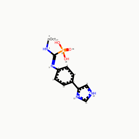 CCCCCCCCNC(=Nc1ccc(-c2c[nH]cn2)cc1)P(=O)(O)O